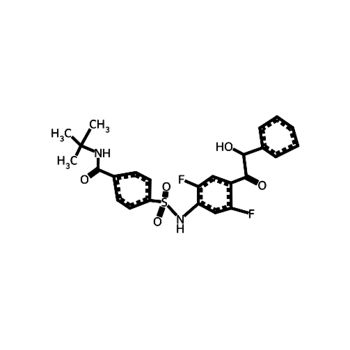 CC(C)(C)NC(=O)c1ccc(S(=O)(=O)Nc2cc(F)c(C(=O)C(O)c3ccccc3)cc2F)cc1